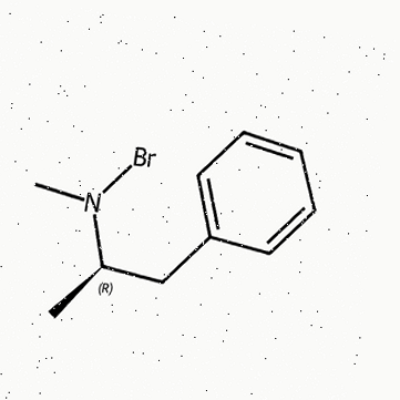 C[C@H](Cc1ccccc1)N(C)Br